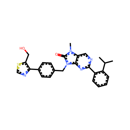 CC(C)c1ccccc1-c1ncc2c(n1)n(Cc1ccc(-c3ncsc3CO)cc1)c(=O)n2C